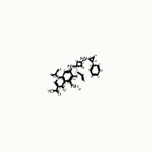 CCC[C@]1(Nc2cc3c(c(N)c2F)c(=O)c(C(=O)O)cn3C(C)C)C[C@@H](N[C@@H]2C[C@H]2c2ccccc2)C1